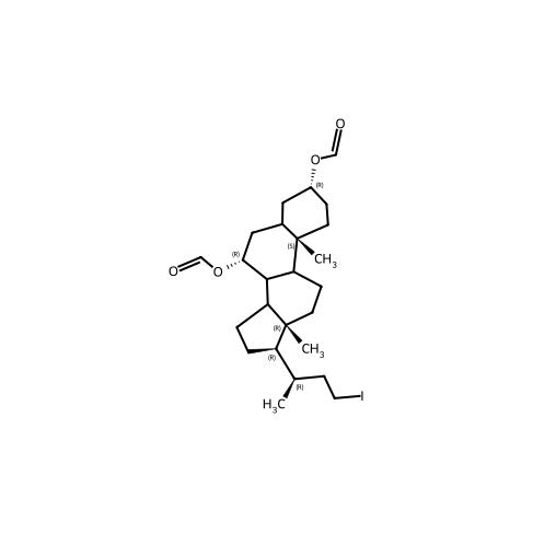 C[C@H](CCI)[C@H]1CCC2C3C(CC[C@@]21C)[C@@]1(C)CC[C@@H](OC=O)CC1C[C@H]3OC=O